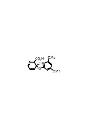 COc1cc(OC)nc(OC2(C)C=CC=NC2C(=O)O)n1